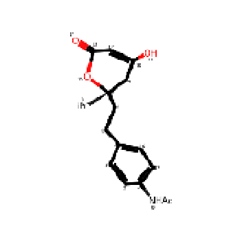 CC(=O)Nc1ccc(CC[C@@]2(C(C)C)CC(O)=CC(=O)O2)cc1